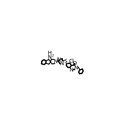 N[C@@H]1c2ccccc2CC12CCN(c1cnc(Sc3ccc4ncn(Cc5ccccc5)c(=O)c4c3Cl)cn1)CC2